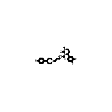 CN1CCC(c2ccc(F)c(F)c2)N(C(=O)NCCCN2CCC(c3ccc(F)cc3)CC2)C1=O